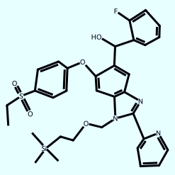 CCS(=O)(=O)c1ccc(Oc2cc3c(cc2C(O)c2ccccc2F)nc(-c2ccccn2)n3COCC[Si](C)(C)C)cc1